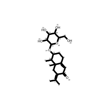 CC(C)=C1CC2(C)C(=CC1=O)CCC(OC1OC(CO)C(O)C(O)C1O)C2C